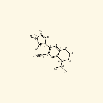 Cc1c(-c2cc3c(cc2C#N)N(C(C)C)CCC3)cnn1C